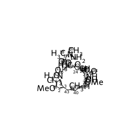 COc1cc2cc(c1Cl)N(C)C(=O)C[C@H](OC(=O)[C@H](C)N(C)N)[C@@]1(C)CC(C)(O1)[C@@H]1C[C@@](O)(NC(=O)O1)[C@H](OC)/C=C/C=C(\C)C2